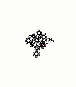 CC1(C)c2ccccc2-c2c1ccc1c3ccccc3n(-c3ccc4c(c3)C3(c5ccccc5Oc5ccccc53)c3cccc(-c5nc(-c6ccccc6)nc(-c6ccccc6)n5)c3-4)c21